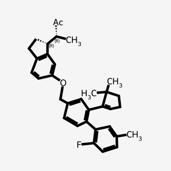 CC(=O)[C@H](C)[C@H]1CCc2ccc(OCc3ccc(-c4cc(C)ccc4F)c(C4=CCCC4(C)C)c3)cc21